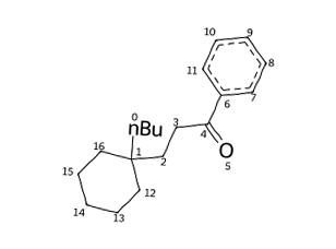 CCCCC1(CCC(=O)c2ccccc2)CCCCC1